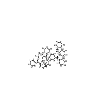 c1ccc(-n2c3ccccc3c3c(S(c4ccccc4)(c4ccccc4)c4ccc(-n5c6ccccc6c6ccc7c8ccccc8oc7c65)cc4)cccc32)cc1